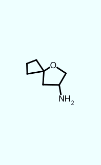 NC1COC2(CCC2)C1